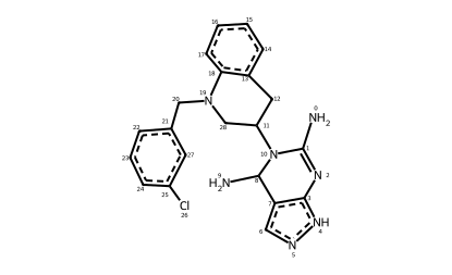 NC1=Nc2[nH]ncc2C(N)N1C1Cc2ccccc2N(Cc2cccc(Cl)c2)C1